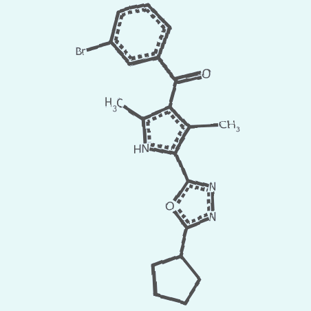 Cc1[nH]c(-c2nnc(C3CCCC3)o2)c(C)c1C(=O)c1cccc(Br)c1